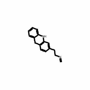 C=NCCc1ccc2c(c1)Nc1ccccc1C2